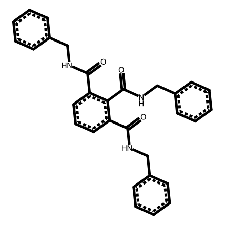 O=C(NCc1ccccc1)c1cccc(C(=O)NCc2ccccc2)c1C(=O)NCc1ccccc1